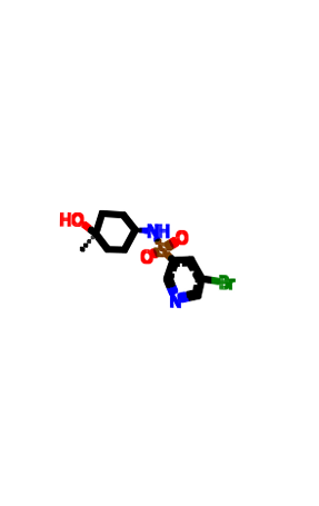 C[C@]1(O)CC[C@@H](NS(=O)(=O)c2cncc(Br)c2)CC1